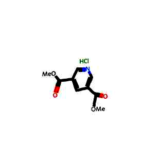 COC(=O)c1cncc(C(=O)OC)c1.Cl